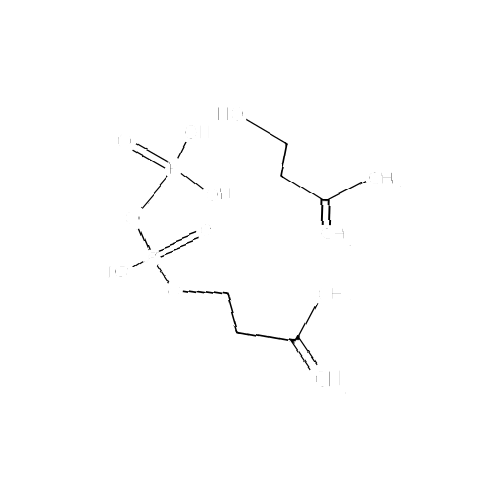 C=C(C)CCO.C=C(C)CCOP(=O)(O)OP(=O)(O)O